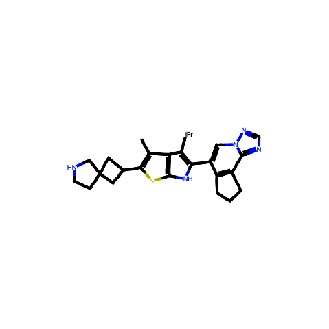 Cc1c(C2CC3(CCNC3)C2)sc2[nH]c(-c3cn4ncnc4c4c3CCC4)c(C(C)C)c12